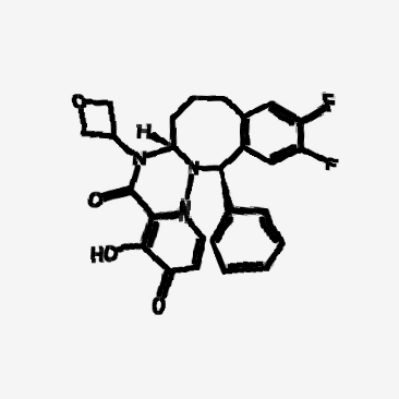 O=C1c2c(O)c(=O)ccn2N2[C@H](c3ccccc3)c3cc(F)c(F)cc3CCC[C@H]2N1C1COC1